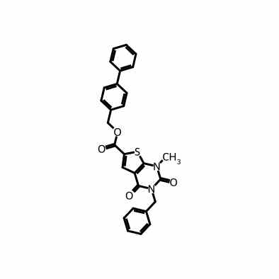 Cn1c(=O)n(Cc2ccccc2)c(=O)c2cc(C(=O)OCc3ccc(-c4ccccc4)cc3)sc21